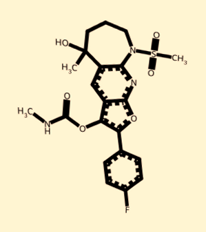 CNC(=O)Oc1c(-c2ccc(F)cc2)oc2nc3c(cc12)C(C)(O)CCCN3S(C)(=O)=O